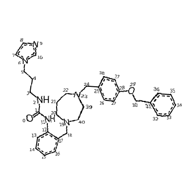 O=C(NCCCn1ccnc1)Nc1ccccc1CN1CCCN(Cc2ccc(OCc3ccccc3)cc2)CC1